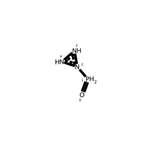 O=[PH2]n1[nH][nH]1